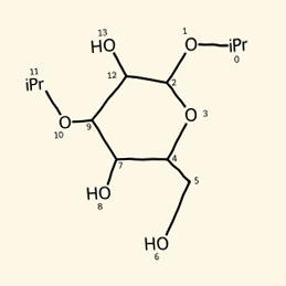 CC(C)OC1OC(CO)C(O)C(OC(C)C)C1O